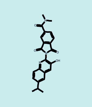 CC(C)c1ccc2nc(N3C(=O)c4ccc(C(=O)N(C)C)cc4C3=O)c(O)cc2c1